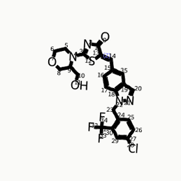 O=C1N=C(N2CCOCC2CO)S/C1=C\c1ccc2c(cnn2Cc2ccc(Cl)cc2C(F)(F)F)c1